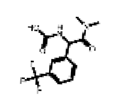 CN(C)C(=O)C(NC(=O)O)c1cccc(C(F)(F)F)c1